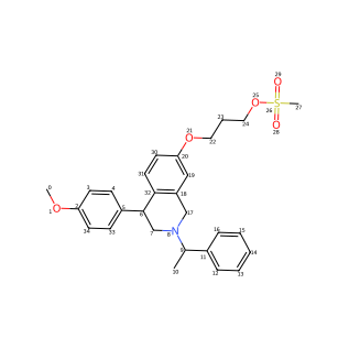 COc1ccc(C2CN(C(C)c3ccccc3)Cc3cc(OCCCOS(C)(=O)=O)ccc32)cc1